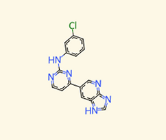 Clc1cccc(Nc2nccc(-c3cnc4nc[nH]c4c3)n2)c1